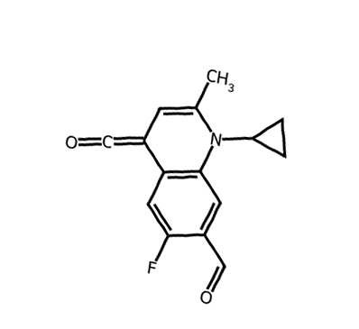 CC1=CC(=C=O)c2cc(F)c(C=O)cc2N1C1CC1